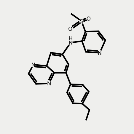 CCc1ccc(-c2cc(Nc3cnccc3S(C)(=O)=O)cc3nccnc23)cc1